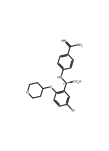 CCc1ccc(OC2CCOCC2)c([C@@H](Nc2ccc(C(=N)N)cc2)C(=O)O)c1